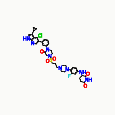 O=C1CCC(Nc2ccc(N3CCN(CCCS(=O)(=O)N4CCN(c5cccc(-c6cnc7[nH]cc(C8CC8)c7c6Cl)c5)C(=O)C4)CC3)c(F)c2)C(=O)N1